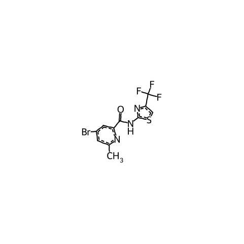 Cc1cc(Br)cc(C(=O)Nc2nc(C(F)(F)F)cs2)n1